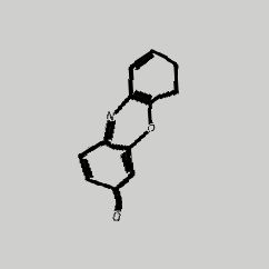 O=c1ccc2nc3c(oc-2c1)CCC=C3